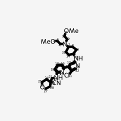 COCCN(CCOC)C1CCC(Nc2cc(-c3cccc(NCC4(C#N)CCOCC4)n3)c(Cl)cn2)CC1